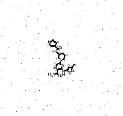 Cc1cc(Nc2nc(N3CCCC(NC(=O)c4ccncc4)C3)cnc2C(N)=O)sn1